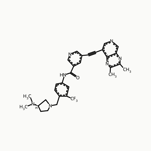 Cc1nc2cncc(C#Cc3cncc(C(=O)Nc4ccc(CN5CC[C@@H](N(C)C)C5)c(C(F)(F)F)c4)c3)c2nc1C